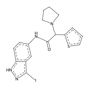 O=C(Nc1ccc2[nH]nc(I)c2c1)C(c1cccs1)N1CCCC1